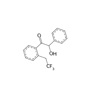 O=C(c1ccccc1CC(F)(F)F)C(O)c1ccccc1